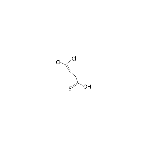 OC(=S)CC=C(Cl)Cl